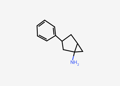 NC12CC(c3ccccc3)CC1C2